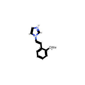 COc1ccccc1/C=C/n1ccnc1